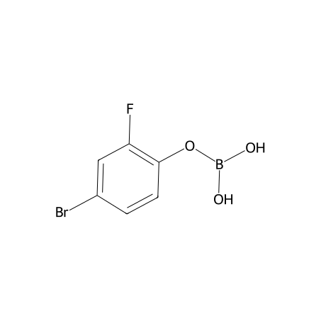 OB(O)Oc1ccc(Br)cc1F